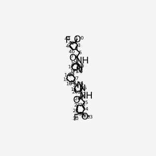 COc1cc(CC(=O)Nc2ccc([C@H]3CCC[C@H](c4ccc(NC(=O)Cc5ccc(F)c(OC)c5)nn4)C3)nn2)ccc1F